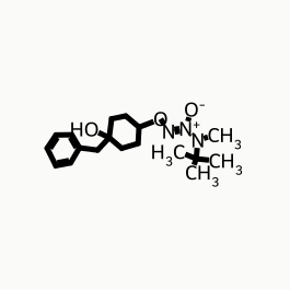 CN(/[N+]([O-])=N/OC1CCC(O)(Cc2ccccc2)CC1)C(C)(C)C